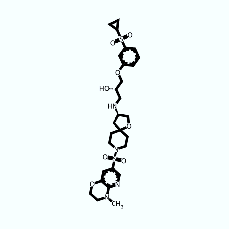 CN1CCOc2cc(S(=O)(=O)N3CCC4(CC3)C[C@@H](NC[C@H](O)COc3cccc(S(=O)(=O)C5CC5)c3)CO4)cnc21